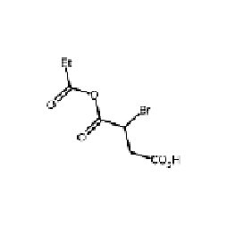 CCC(=O)OC(=O)C(Br)CC(=O)O